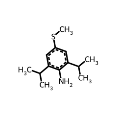 CSc1cc(C(C)C)c(N)c(C(C)C)c1